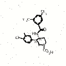 Cc1cc([C@@H]2CN(C(=O)O)CC[C@H]2NC(=O)c2cc(C(F)(F)F)cc(C(F)(F)F)c2)ccc1Cl